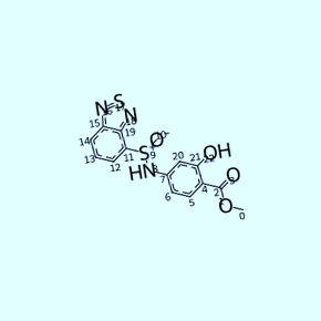 COC(=O)c1ccc(N[S+]([O-])c2cccc3nsnc23)cc1O